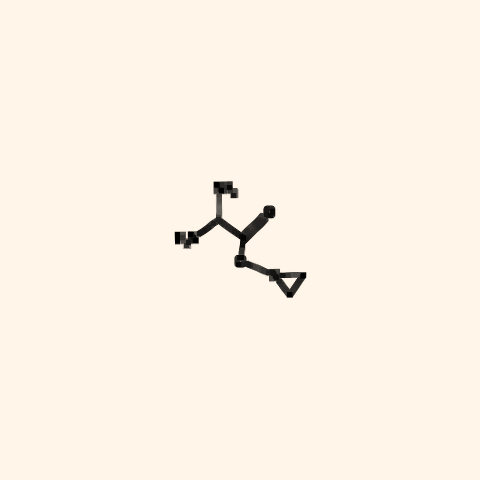 NC(N)C(=O)ON1CC1